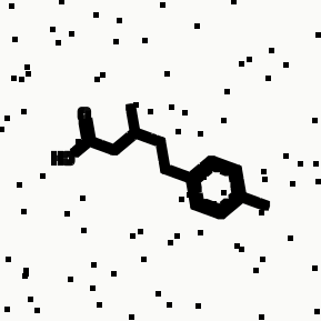 Cc1ccc(CCC(C)CC(=O)O)cc1